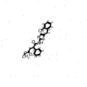 COC(=O)CC(C(=O)Nc1ncc(Cc2ccccc2Cl)s1)c1ccccc1